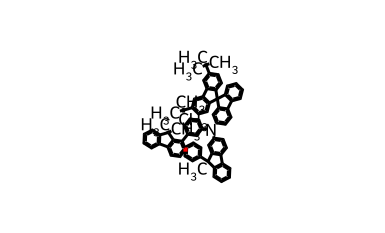 CC(C)(C)c1ccc2c(c1)-c1cc(C(C)(C)C)ccc1C21c2ccccc2-c2ccc(N(c3cccc(-c4cccc5c4C(C)(C)c4ccccc4-5)c3)c3ccc4c(c3)C(C)(c3ccccc3)c3ccccc3-4)cc21